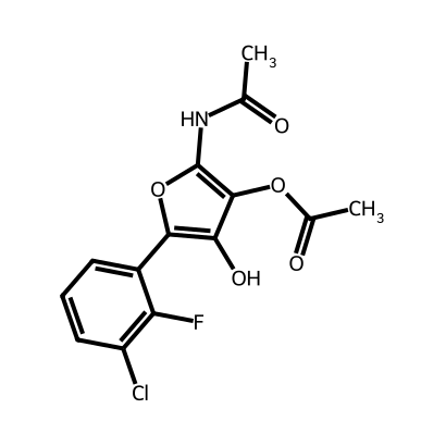 CC(=O)Nc1oc(-c2cccc(Cl)c2F)c(O)c1OC(C)=O